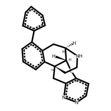 c1ccc(-c2cccc3c2C[C@H]2NCC[C@@]34Cc3nnccc3C[C@@H]24)cc1